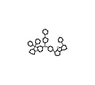 c1ccc(-c2ccc(N(c3ccc(-c4cccc5c4oc4c(-c6ccccc6)cccc45)cc3)c3ccc4c(c3)C(c3ccccc3)(c3ccccc3)c3ccccc3-4)cc2)cc1